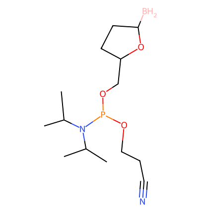 BC1CCC(COP(OCCC#N)N(C(C)C)C(C)C)O1